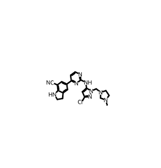 CN1CCN(Cn2nc(Cl)cc2Nc2nccc(-c3cc(C#N)c4c(c3)CCN4)n2)C1